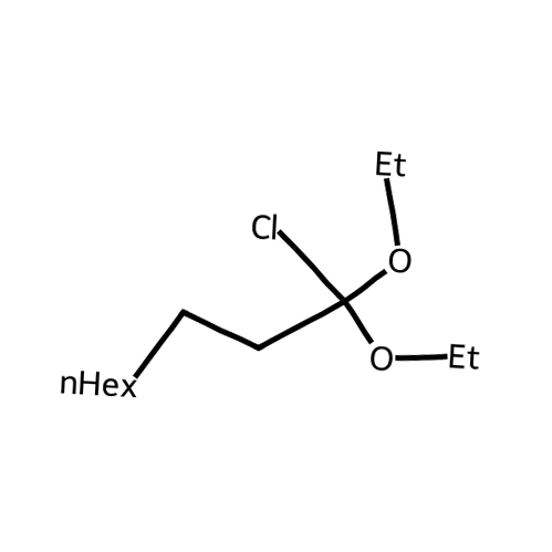 CCCCCCCCC(Cl)(OCC)OCC